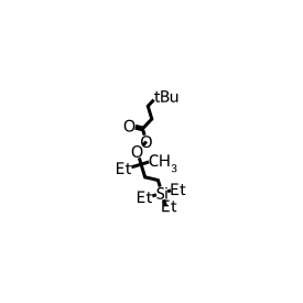 CCC(C)(CC[Si](CC)(CC)CC)OOC(=O)CCC(C)(C)C